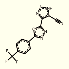 N#Cc1[nH]nnc1-c1nnc(-c2ccc(C(F)(F)F)cc2)o1